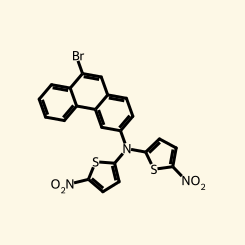 O=[N+]([O-])c1ccc(N(c2ccc3cc(Br)c4ccccc4c3c2)c2ccc([N+](=O)[O-])s2)s1